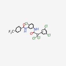 O=C(Nc1cc(NC(=O)C2C(c3cc(Cl)cc(Cl)c3)C2(Cl)Cl)ccc1Cl)c1ccc(C(F)(F)F)cc1